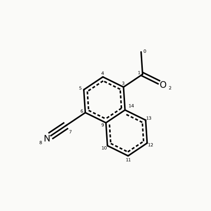 CC(=O)c1ccc(C#N)c2ccccc12